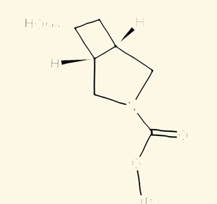 CC(C)(C)OC(=O)N1C[C@H]2C[C@@H](O)[C@H]2C1